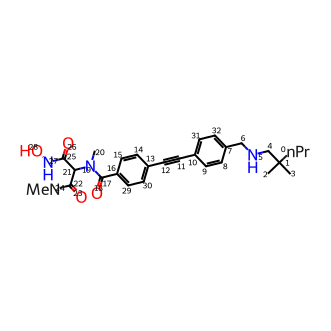 CCCC(C)(C)CNCc1ccc(C#Cc2ccc(C(=O)N(C)C(C(=O)NC)C(=O)NO)cc2)cc1